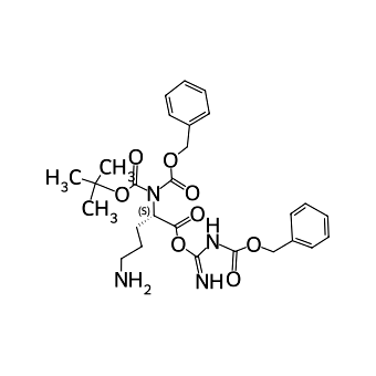 CC(C)(C)OC(=O)N(C(=O)OCc1ccccc1)[C@@H](CCCN)C(=O)OC(=N)NC(=O)OCc1ccccc1